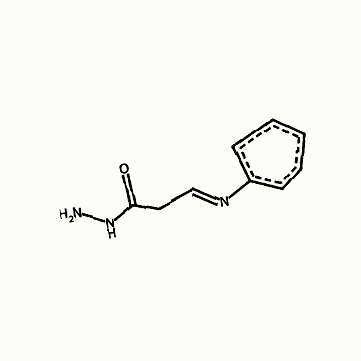 NNC(=O)CC=Nc1ccccc1